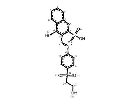 O=S(=O)(O)c1cc2ccccc2c(O)c1/N=N/c1ccc(S(=O)(=O)CCO)cc1